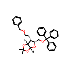 CC1(C)O[C@H]2O[C@H](COC(c3ccccc3)(c3ccccc3)c3ccccc3)[C@@H](CCOCc3ccccc3)[C@H]2O1